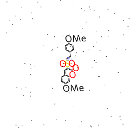 COc1ccc(/C=C/S(=O)(=O)c2cc3ccc(OC)cc3oc2=O)cc1